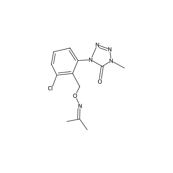 CC(C)=NOCc1c(Cl)cccc1-n1nnn(C)c1=O